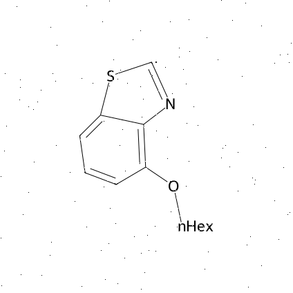 CCCCCCOc1cccc2s[c]nc12